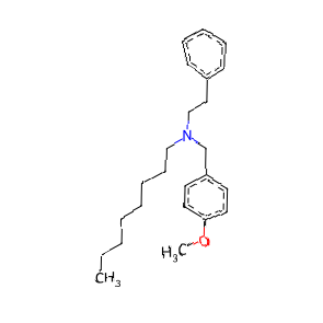 CCCCCCCCN(CCc1ccccc1)Cc1ccc(OC)cc1